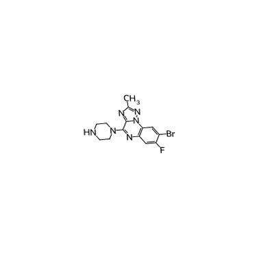 Cc1nc2c(N3CCNCC3)nc3cc(F)c(Br)cc3n2n1